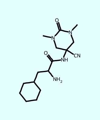 CN1CC(C#N)(NC(=O)C(N)CC2CCCCC2)CN(C)C1=O